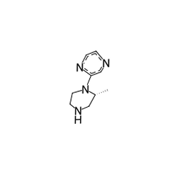 C[C@@H]1CNCCN1c1cnccn1